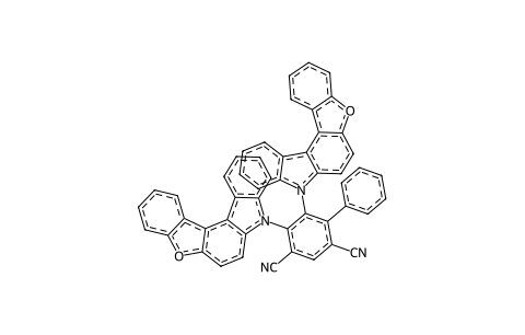 N#Cc1cc(C#N)c(-n2c3ccccc3c3c4c(ccc32)oc2ccccc24)c(-n2c3ccccc3c3c4c(ccc32)oc2ccccc24)c1-c1ccccc1